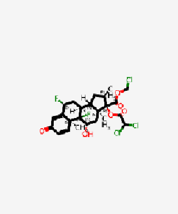 C[C@@H]1C[C@H]2[C@@H]3C[C@H](F)C4=CC(=O)C=C[C@]4(C)[C@@]3(F)[C@@H](O)C[C@]2(C)[C@@]1(OC(=O)C(Cl)Cl)C(=O)OCCl